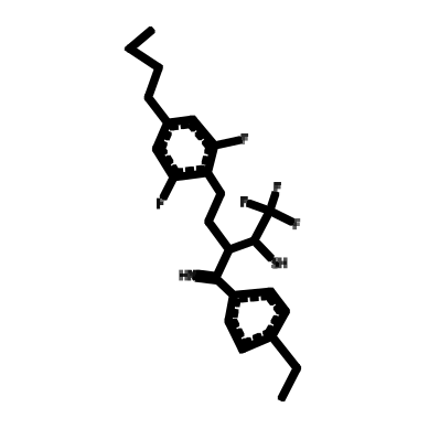 CCCCc1cc(F)c(CCC(C(=N)c2ccc(CC)cc2)C(S)C(F)(F)F)c(F)c1